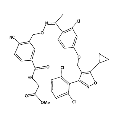 COC(=O)CNC(=O)c1ccc(C#N)c(CON=C(C)c2ccc(OCc3c(-c4c(Cl)cccc4Cl)noc3C3CC3)cc2Cl)c1